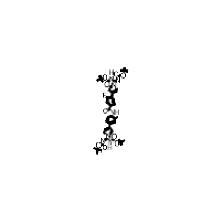 Cc1cc(C2=CCN(/C(=N/C(=O)OC(C)(C)C)NC(=O)OC(C)(C)C)CC2)ccc1NC(=O)c1ccc(C2=CCN(/C(=N/C(=O)OC(C)(C)C)NC(=O)OC(C)(C)C)CC2)c(F)c1